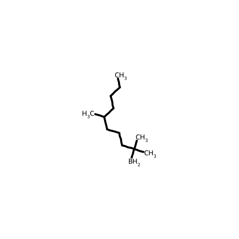 BC(C)(C)CCCC(C)CCCC